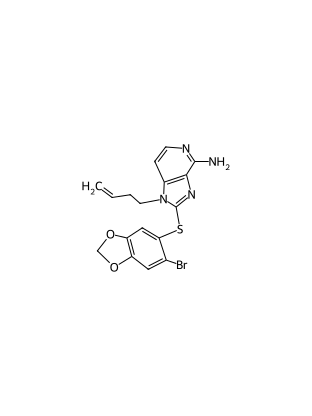 C=CCCn1c(Sc2cc3c(cc2Br)OCO3)nc2c(N)nccc21